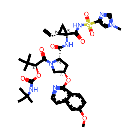 C=C[C@@H]1C[C@]1(NC(=O)[C@@H]1C[C@@H](Oc2nccc3cc(OC)ccc23)CN1C(=O)[C@@H](OC(=O)NC(C)(C)C)C(C)(C)C)C(=O)NS(=O)(=O)c1cn(C)cn1